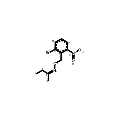 CCC(C)=NOCc1c(Br)cccc1[N+](=O)[O-]